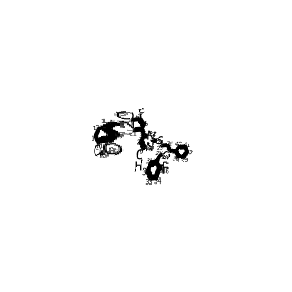 Cc1cc(-c2cc(F)c(=O)n(Cc3ccc4c(c3)OCO4)c2)nc(SCCC(OCc2ccccc2F)c2ccccc2)n1